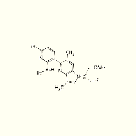 CC[AsH]c1nc(C(C)C)ccc1-c1nc2c(C)cn([C@@H](CF)COC)c2cc1C